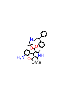 COC(=O)C1=C(C)NC(C)=C(C(=O)OC(C)(C)CN(C)CCC(c2ccccc2)c2ccccc2)C1c1cccc(N)c1